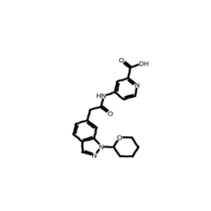 O=C(Cc1ccc2cnn(C3CCCCO3)c2c1)Nc1ccnc(C(=O)O)c1